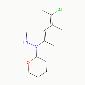 CNN(/C(C)=C/C(C)=C(\C)Cl)C1CCCCO1